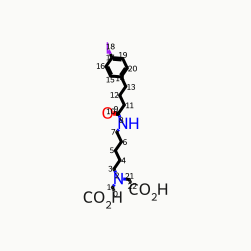 O=C(O)CN(CCCCCNC(=O)CCCc1ccc(I)cc1)CC(=O)O